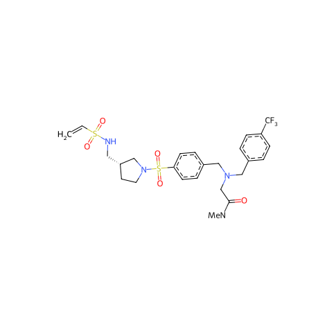 C=CS(=O)(=O)NC[C@H]1CCN(S(=O)(=O)c2ccc(CN(CC(=O)NC)Cc3ccc(C(F)(F)F)cc3)cc2)C1